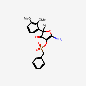 [2H]C1(c2cccc(OC)c2OC)OC(N)=C(OS(=O)(=O)Cc2ccccc2)C1=O